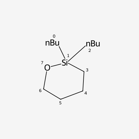 CCCC[Si]1(CCCC)CCCCO1